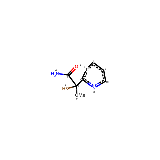 COC(S)(C(N)=O)c1ccccn1